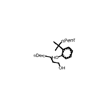 CCCCCC(C)(C)c1ccccc1O.CCCCCCCCCCCCCO